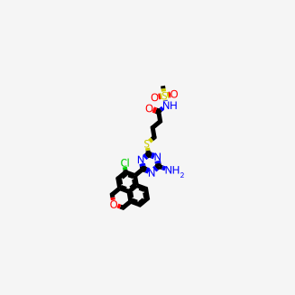 CS(=O)(=O)NC(=O)CCCSc1nc(N)nc(-c2c(Cl)cc3c4c(cccc24)COC3)n1